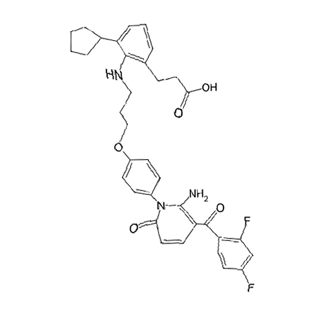 Nc1c(C(=O)c2ccc(F)cc2F)ccc(=O)n1-c1ccc(OCCCNc2c(CCC(=O)O)cccc2C2CCCC2)cc1